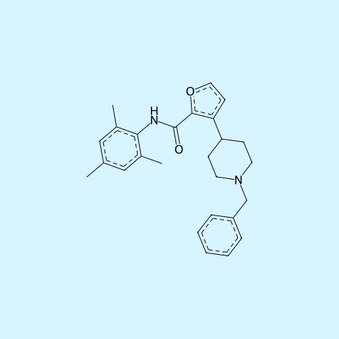 Cc1cc(C)c(NC(=O)c2occc2C2CCN(Cc3ccccc3)CC2)c(C)c1